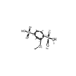 COc1cc(S(=O)(=O)O)[c]cc1S(=O)(=O)O